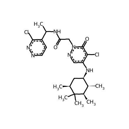 CC(NC(=O)Cn1ncc(N[C@@H]2C[C@H](C)C(C)(C)[C@H](C)[C@H]2C)c(Cl)c1=O)c1ccnnc1Cl